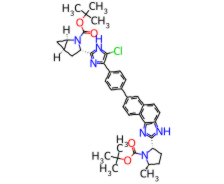 C[C@@H]1CC[C@@H](c2nc3c(ccc4cc(-c5ccc(-c6nc([C@@H]7C[C@H]8C[C@H]8N7C(=O)OC(C)(C)C)[nH]c6Cl)cc5)ccc43)[nH]2)N1C(=O)OC(C)(C)C